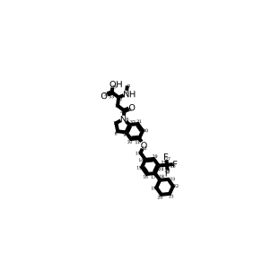 CNC(CC(=O)N1CCc2cc(OCc3ccc(C4CCCCC4)c(C(F)(F)F)c3)ccc21)C(=O)O